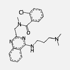 CN(C)CCCNc1nc(CN(C)C(=O)c2ccccc2Cl)nc2ccccc12